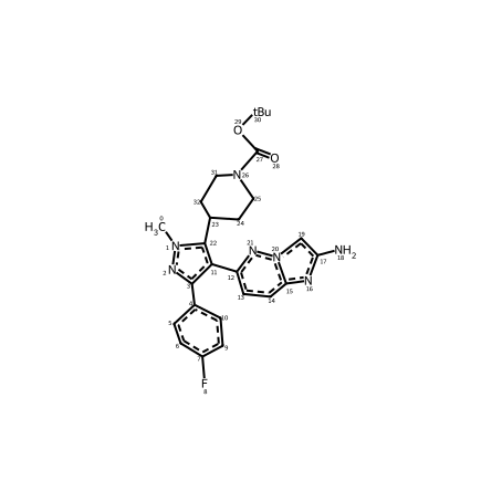 Cn1nc(-c2ccc(F)cc2)c(-c2ccc3nc(N)cn3n2)c1C1CCN(C(=O)OC(C)(C)C)CC1